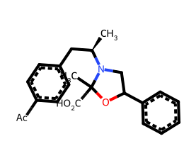 CC(=O)c1ccc(C[C@@H](C)N2CC(c3ccccc3)OC2(C)C(=O)O)cc1